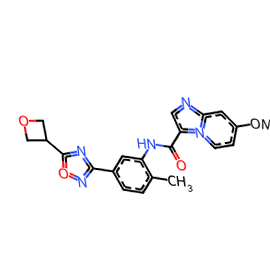 COc1ccn2c(C(=O)Nc3cc(-c4noc(C5COC5)n4)ccc3C)cnc2c1